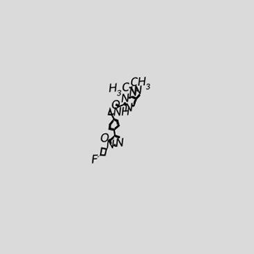 CC(C)n1ncc2cnc(C(=O)NC3(c4ccc(-c5cncn([C@H]6C[C@H](F)C6)c5=O)cc4)CC3)nc21